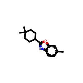 Cc1ccc2nc(C3CCC(C)(C)CC3)oc2c1